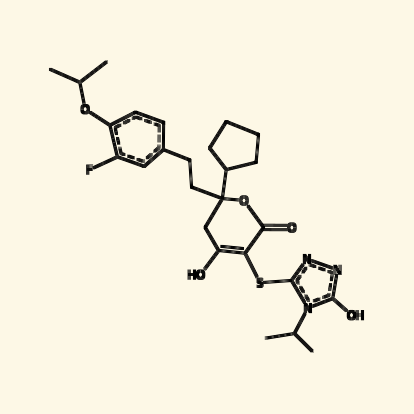 CC(C)Oc1ccc(CCC2(C3CCCC3)CC(O)=C(Sc3nnc(O)n3C(C)C)C(=O)O2)cc1F